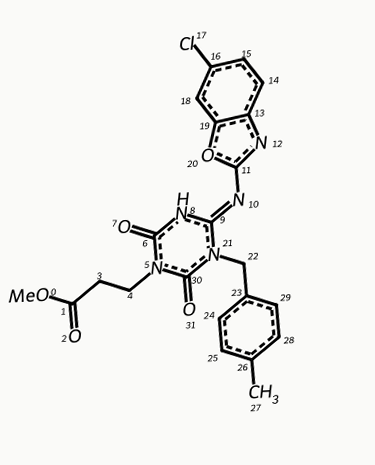 COC(=O)CCn1c(=O)[nH]/c(=N\c2nc3ccc(Cl)cc3o2)n(Cc2ccc(C)cc2)c1=O